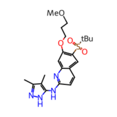 COCCCOc1cc2nc(Nc3[nH]nc(C)c3C)ccc2cc1S(=O)(=O)C(C)(C)C